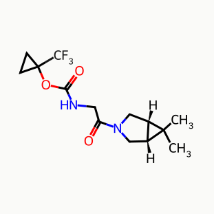 CC1(C)[C@@H]2CN(C(=O)CNC(=O)OC3(C(F)(F)F)CC3)C[C@@H]21